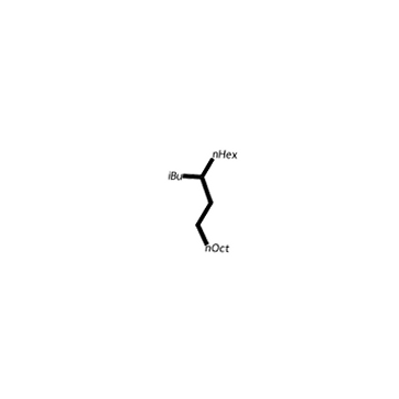 CCCCCCCCCC[C](CCCCCC)C(C)CC